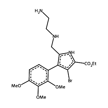 CCOC(=O)c1[nH]c(CNCCN)c(-c2ccc(OC)c(OC)c2OC)c1Br